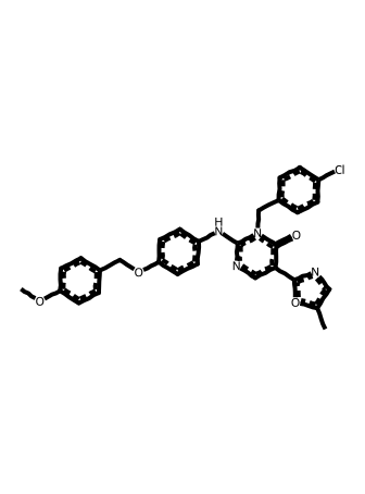 COc1ccc(COc2ccc(Nc3ncc(-c4ncc(C)o4)c(=O)n3Cc3ccc(Cl)cc3)cc2)cc1